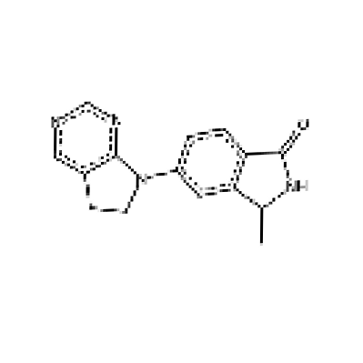 CC1NC(=O)c2ccc(N3CCc4cncnc43)cc21